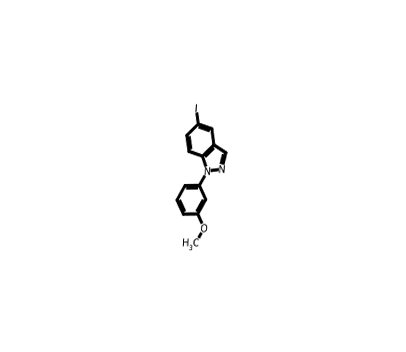 COc1cccc(-n2ncc3cc(I)ccc32)c1